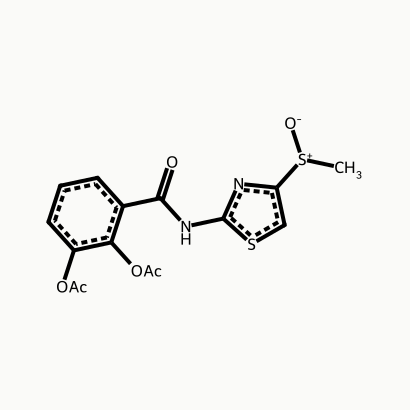 CC(=O)Oc1cccc(C(=O)Nc2nc([S+](C)[O-])cs2)c1OC(C)=O